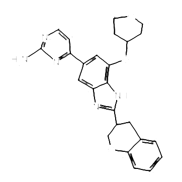 Nc1nccc(-c2cc(OC3CCOCC3)c3[nH]c(C4COc5ccccc5C4)nc3c2)n1